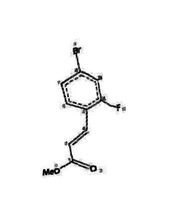 COC(=O)C=Cc1ccc(Br)cc1F